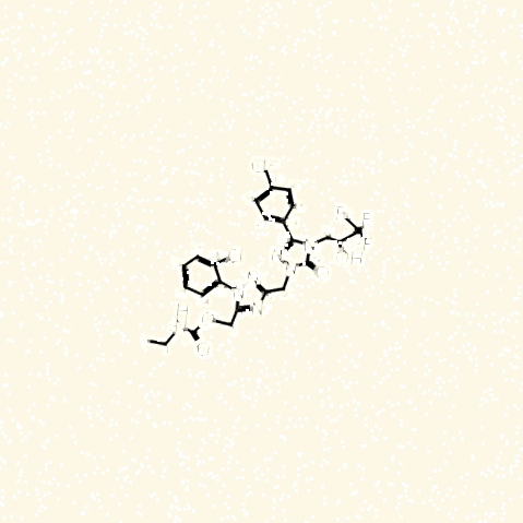 CCNC(=O)OCc1nc(Cn2nc(-c3ccc(Cl)cc3)n(CC(O)C(F)(F)F)c2=O)nn1-c1ccccc1Cl